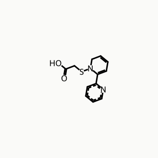 O=C(O)CSN1CC=CC=C1c1ccccn1